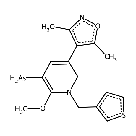 COC1=C([AsH2])C=C(c2c(C)noc2C)CN1Cc1ccsc1